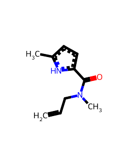 C=CCN(C)C(=O)c1ccc(C)[nH]1